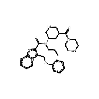 CCCN(C(=O)c1nc2ccccn2c1COc1ccccc1)[C@@H]1CNCC(C(=O)N2CCOCC2)C1